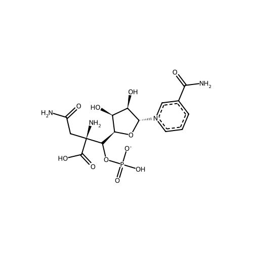 NC(=O)C[C@@](N)(C(=O)O)C(OP(=O)([O-])O)[C@@H]1O[C@@H]([n+]2cccc(C(N)=O)c2)[C@H](O)[C@@H]1O